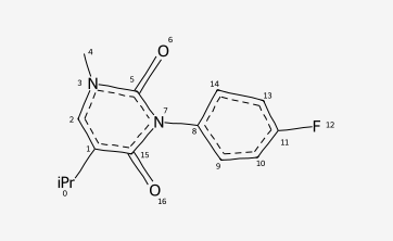 CC(C)c1cn(C)c(=O)n(-c2ccc(F)cc2)c1=O